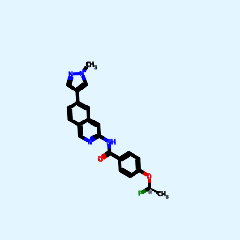 C[C@H](F)Oc1ccc(C(=O)Nc2cc3cc(-c4cnn(C)c4)ccc3cn2)cc1